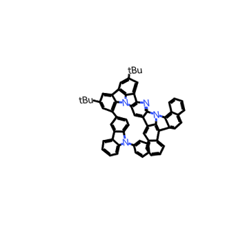 CC(C)(C)c1cc(-c2ccc3c(c2)c2ccccc2n3-c2ccccc2)c2c(c1)c1cc(C(C)(C)C)cc3c4nc5c(cc4n2c13)c1cc2ccccc2c2c3ccc4ccccc4c3n5c12